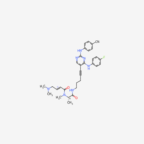 C[C@@H](C(=O)NCCCC#Cc1cnc(Nc2ccc(C#N)cc2)nc1Nc1ccc(F)cc1)N(C)C(=O)/C=C/CN(C)C